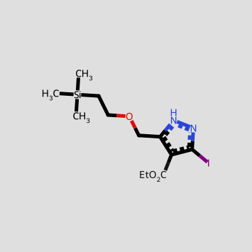 CCOC(=O)c1c(I)n[nH]c1COCC[Si](C)(C)C